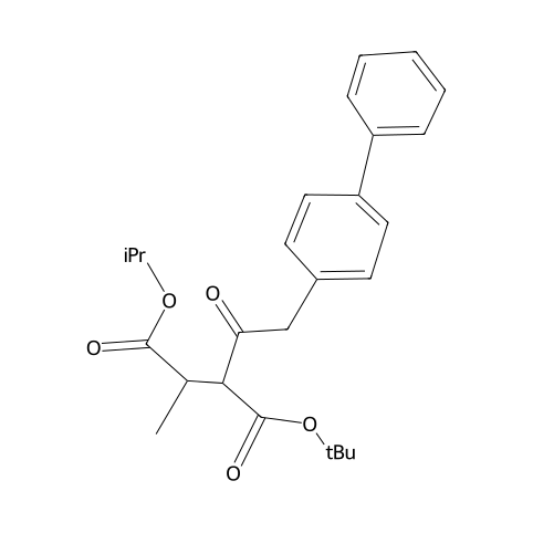 CC(C)OC(=O)C(C)C(C(=O)Cc1ccc(-c2ccccc2)cc1)C(=O)OC(C)(C)C